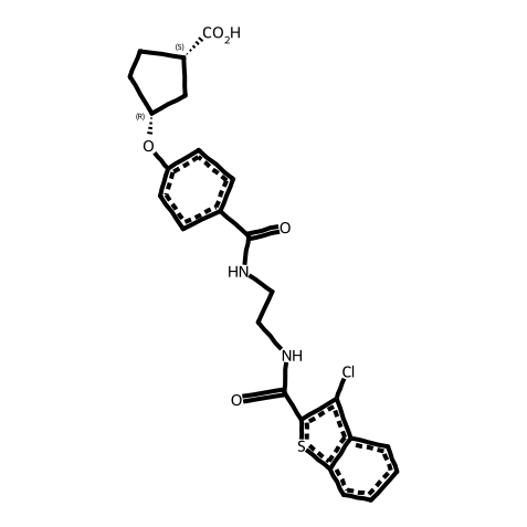 O=C(NCCNC(=O)c1sc2ccccc2c1Cl)c1ccc(O[C@@H]2CC[C@H](C(=O)O)C2)cc1